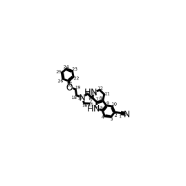 N#Cc1ccc2[nH]c3c(c2c1)CCN[C@@]31CCN(CCOc2ccccc2)C1